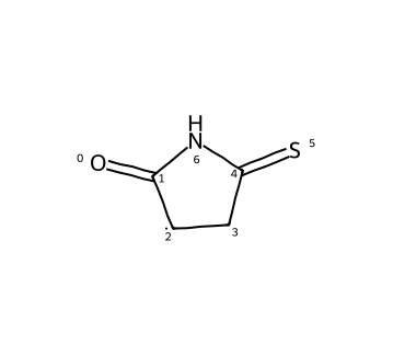 O=C1[CH]CC(=S)N1